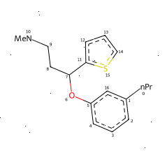 CCCc1cccc(OC(CCNC)c2cccs2)c1